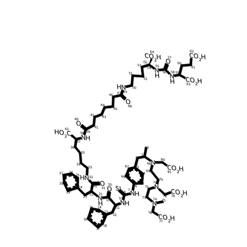 CC(Cc1ccc(NC(=S)NC(Cc2ccccc2)C(=O)NC(Cc2ccccc2)C(=O)NCCCCC(NC(=O)CCCCCCC(=O)NCCCC[C@H](NC(=O)NC(CCC(=O)O)C(=O)O)C(=O)O)C(=O)O)cc1)N(CCN(CCN(C)CC(=O)O)CC(=O)O)CC(=O)O